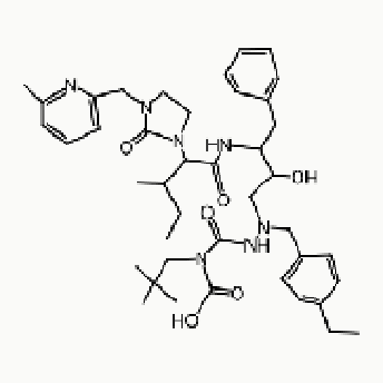 CCc1ccc(CN(CC(O)C(Cc2ccccc2)NC(=O)C(C(C)CC)N2CCN(Cc3cccc(C)n3)C2=O)NC(=O)N(CC(C)(C)C)C(=O)O)cc1